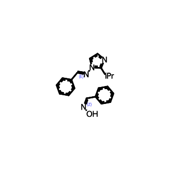 CC(C)c1nccn1/N=C/c1ccccc1.O/N=C\c1ccccc1